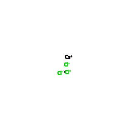 [Cl+].[Cl-].[Cl-].[Cs+]